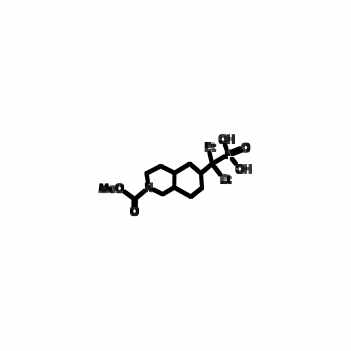 CCC(CC)(C1CCC2CN(C(=O)OC)CCC2C1)P(=O)(O)O